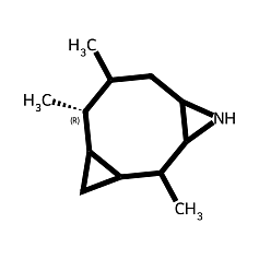 CC1C2CC2[C@H](C)C(C)CC2NC21